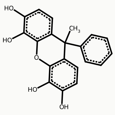 CC1(c2ccccc2)c2ccc(O)c(O)c2Oc2c1ccc(O)c2O